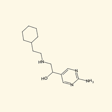 Nc1ncc(C(O)CNCCC2CCCCC2)cn1